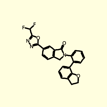 O=C1c2cc(-c3nnc(C(F)F)o3)ccc2CN1c1ccccc1-c1cccc2c1OCC2